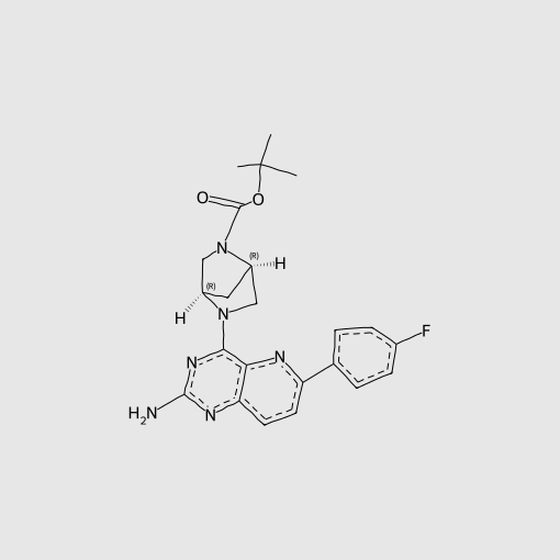 CC(C)(C)OC(=O)N1C[C@H]2C[C@@H]1CN2c1nc(N)nc2ccc(-c3ccc(F)cc3)nc12